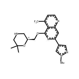 CC1(C)CNC[C@@H](COc2nc(-c3cnn(C(C)(C)C)c3)cc3nccc(C(F)(F)F)c23)O1